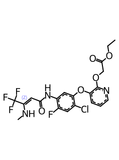 CCOC(=O)COc1ncccc1Oc1cc(NC(=O)/C=C(\NC)C(F)(F)F)c(F)cc1Cl